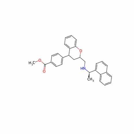 COC(=O)c1ccc(C2CC(CN[C@H](C)c3cccc4ccccc34)Oc3ccccc32)cc1